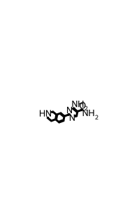 NC(=O)c1cnc(-c2ccc3c(c2)CNCC3)nc1N